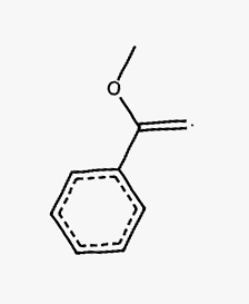 [CH]=C(OC)c1ccccc1